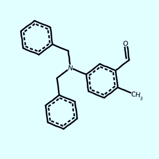 Cc1ccc(N(Cc2ccccc2)Cc2ccccc2)cc1C=O